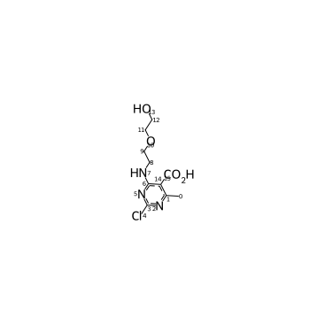 Cc1nc(Cl)nc(NCCOCCO)c1C(=O)O